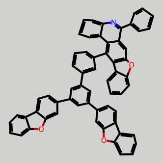 c1ccc(-c2nc3ccccc3c3c(-c4cccc(-c5cc(-c6ccc7c(c6)oc6ccccc67)cc(-c6ccc7c(c6)oc6ccccc67)c5)c4)c4c(cc23)oc2ccccc24)cc1